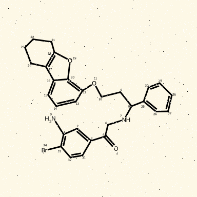 Nc1cc(C(=O)CNC(CCOc2cccc3c4c(oc23)CCCC4)c2ccccc2)ccc1Br